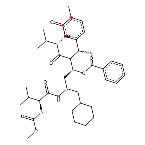 COC(=O)N[C@H](C(=O)NN(CC1CCCCC1)C[C@H](OC(=O)c1ccccc1)C(C(=O)[C@@H](NC(=O)OC)C(C)C)C(N)c1ccccc1)C(C)C